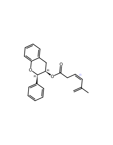 C=C(C)/C=C\CC(=O)O[C@@H]1Cc2ccccc2O[C@@H]1c1ccccc1